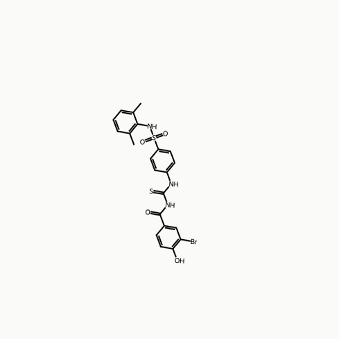 Cc1cccc(C)c1NS(=O)(=O)c1ccc(NC(=S)NC(=O)c2ccc(O)c(Br)c2)cc1